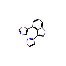 [c]1[nH]c2cccc(-c3cnco3)c2c1-c1ccon1